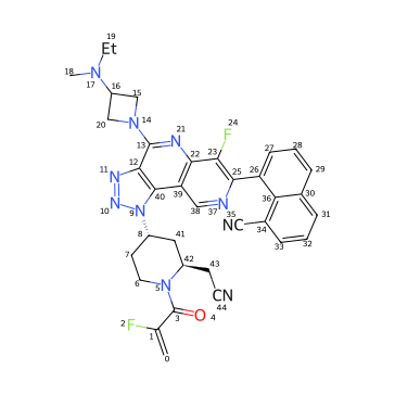 C=C(F)C(=O)N1CC[C@H](n2nnc3c(N4CC(N(C)CC)C4)nc4c(F)c(-c5cccc6cccc(C#N)c56)ncc4c32)C[C@H]1CC#N